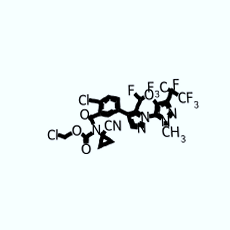 Cn1nc(C(F)(C(F)(F)F)C(F)(F)F)c2c1-n1ncc(-c3ccc(Cl)c(C(=O)N(C(=O)OCCl)C4(C#N)CC4)c3)c1C(F)O2